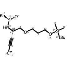 CC(C)(C)[S@@+]([O-])N[C@@H](C#CC(F)(F)F)COCCCO[Si](C)(C)C(C)(C)C